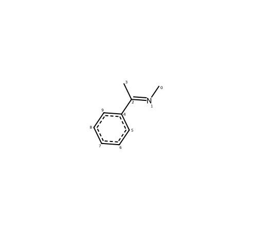 C/N=C(\C)c1ccccc1